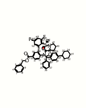 O=C(OCc1ccccc1)c1ccc(N(Cc2ccc(C3CCCCC3)cc2)C(=O)[C@]2(OCc3ccccc3)CCCN2S(=O)(=O)c2c(F)cc(F)cc2F)cc1